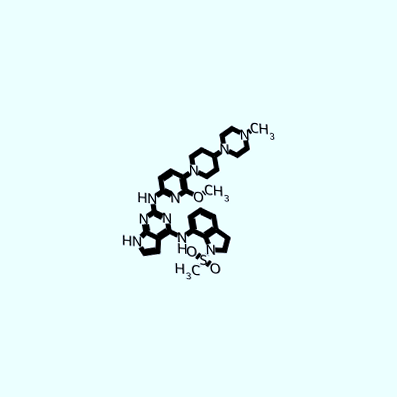 COc1nc(Nc2nc(Nc3cccc4c3N(S(C)(=O)=O)CC4)c3cc[nH]c3n2)ccc1N1CCC(N2CCN(C)CC2)CC1